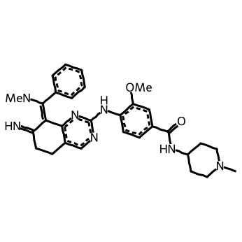 CN/C(=C1\C(=N)CCc2cnc(Nc3ccc(C(=O)NC4CCN(C)CC4)cc3OC)nc21)c1ccccc1